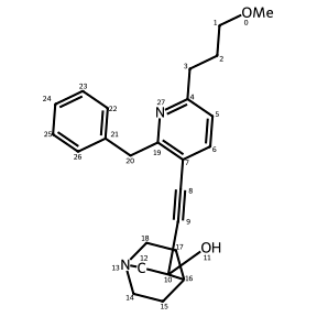 COCCCc1ccc(C#CC2(O)CN3CCC2CC3)c(Cc2ccccc2)n1